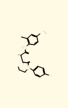 Cc1cc(C#N)ccc1NC(=O)[C@H](O)[C@H]1OCCN(c2ccc(C(C)(C)C)cc2)C1=O